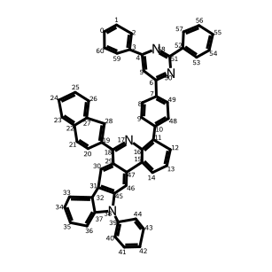 c1ccc(-c2cc(-c3ccc(-c4cccc5c4nc(-c4ccc6ccccc6c4)c4cc6c7ccccc7n(-c7ccccc7)c6cc45)cc3)nc(-c3ccccc3)n2)cc1